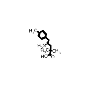 Cc1ccc(C[C@H](N)CC(C)(C)C(=O)O)cc1